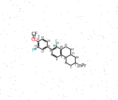 CCCC1CCC2c3ccc(-c4ccc(OC(F)(F)F)c(F)c4)c(F)c3CCC2C1